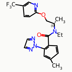 CCN(C(=O)c1ccc(C)cc1-n1nccn1)[C@@H](C)COc1ccc(C(F)(F)F)cn1